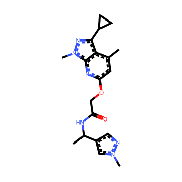 Cc1cc(OCC(=O)NC(C)c2cnn(C)c2)nc2c1c(C1CC1)nn2C